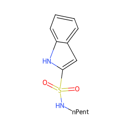 CCCCCNS(=O)(=O)c1cc2ccccc2[nH]1